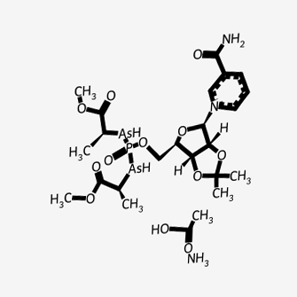 CC(=O)O.COC(=O)[C@H](C)[AsH]P(=O)(OC[C@H]1O[C@@H]([n+]2cccc(C(N)=O)c2)[C@@H]2OC(C)(C)O[C@@H]21)[AsH][C@@H](C)C(=O)OC.N